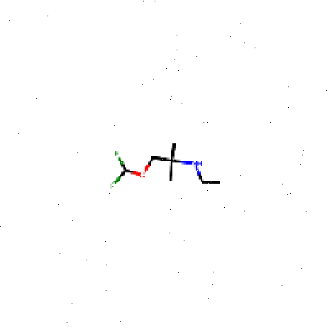 CCNC(C)(C)COC(F)F